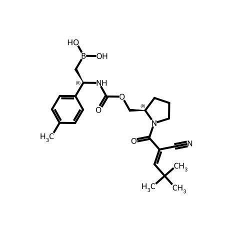 Cc1ccc([C@@H](CB(O)O)NC(=O)OC[C@H]2CCCN2C(=O)C(C#N)=CC(C)(C)C)cc1